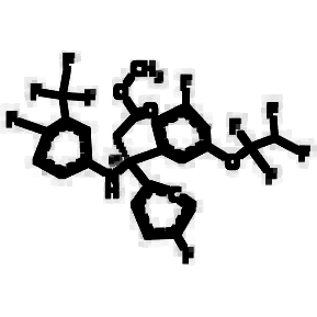 COC(=O)C[C@@](Nc1ccc(F)c(C(F)(F)F)c1)(c1ccc(F)cc1)c1cc(F)cc(OC(F)(F)C(F)F)c1